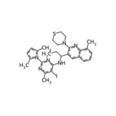 CCC(Nc1nc(-n2c(C)ccc2C)nc(C)c1I)c1cc2cccc(C)c2nc1N1CCSCC1